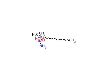 CCCCCCCCCCCCCCCCCC(=O)OC(O)(CNCCN)N(CC)CC